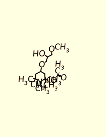 CC(=O)O.COCC(O)COC1CC(C)(C)N(C)C(C)(C)C1